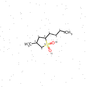 CCCCC1CC(C)CS1(=O)=O